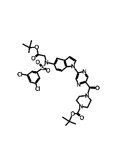 CC(C)(C)OC(=O)CN(c1ccc2c(ccn2-c2cnc(C(=O)N3CCN(C(=O)OC(C)(C)C)CC3)cn2)c1)S(=O)(=O)c1cc(Cl)cc(Cl)c1